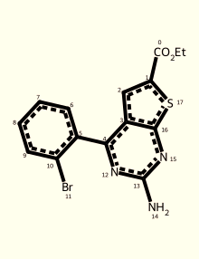 CCOC(=O)c1cc2c(-c3ccccc3Br)nc(N)nc2s1